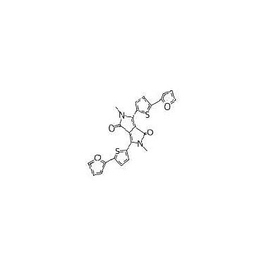 CN1C(=O)C2=C(c3ccc(-c4ccco4)s3)N(C)C(=O)C2=C1c1ccc(-c2ccco2)s1